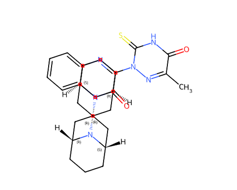 Cc1nn(-c2nc3ccccc3n([C@H]3C[C@H]4CCC[C@@H](C3)N4[C@H]3C[C@@H]4CCC[C@@H](C4)C3)c2=O)c(=S)[nH]c1=O